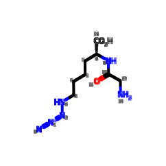 [N-]=[N+]=NNCCCC[C@H](NC(=O)CN)C(=O)O